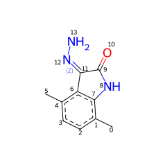 Cc1ccc(C)c2c1NC(=O)/C2=N\N